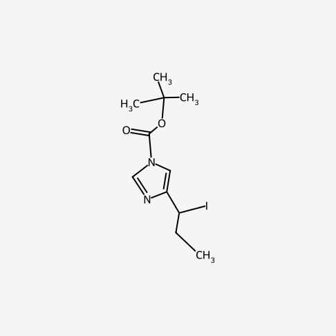 CCC(I)c1cn(C(=O)OC(C)(C)C)cn1